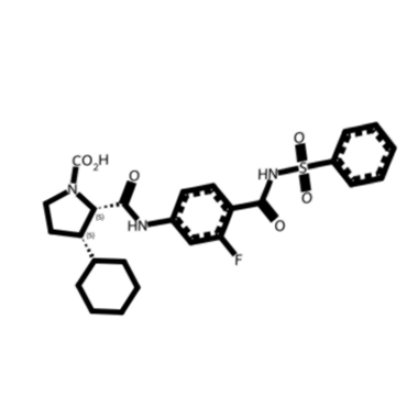 O=C(NS(=O)(=O)c1ccccc1)c1ccc(NC(=O)[C@@H]2[C@H](C3CCCCC3)CCN2C(=O)O)cc1F